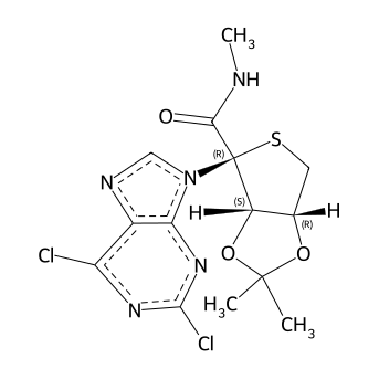 CNC(=O)[C@]1(n2cnc3c(Cl)nc(Cl)nc32)SC[C@@H]2OC(C)(C)O[C@@H]21